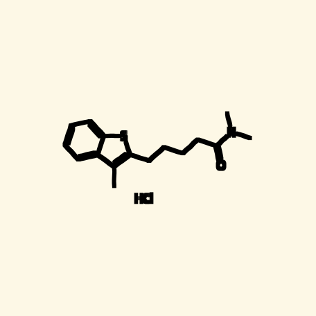 Cc1c(CCCCC(=O)N(C)C)sc2ccccc12.Cl